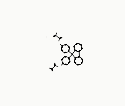 C=C(C)C(=O)Oc1ccc(C2(c3ccc(OC(=O)C(=C)C)cc3)c3ccccc3-c3ccccc32)cc1